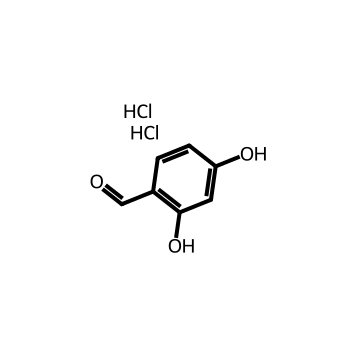 Cl.Cl.O=Cc1ccc(O)cc1O